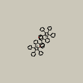 c1ccc(-c2c(-c3ccccc3)c(-c3ccccc3)n(-c3ccccc3-c3ccccc3-c3ccccc3-c3ccccc3-n3c(-c4ccccc4)c(-c4ccccc4)c(-c4ccccc4)c3-c3ccccc3)c2-c2ccccc2)cc1